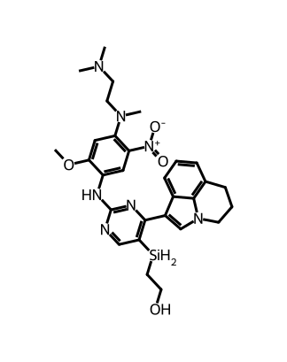 COc1cc(N(C)CCN(C)C)c([N+](=O)[O-])cc1Nc1ncc([SiH2]CCO)c(-c2cn3c4c(cccc24)CCC3)n1